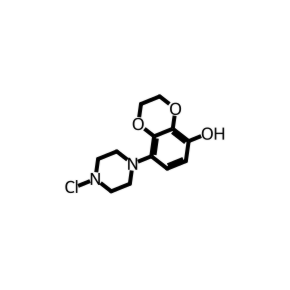 Oc1ccc(N2CCN(Cl)CC2)c2c1OCCO2